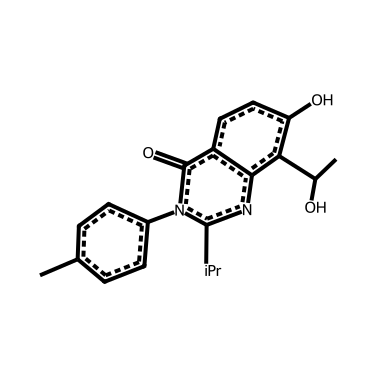 Cc1ccc(-n2c(C(C)C)nc3c(C(C)O)c(O)ccc3c2=O)cc1